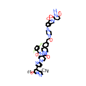 CCOc1cc(-c2ccc(N3CCC(NC(=O)c4cc(F)ccc4F)(C(=O)N4CCC5(CCC(CC(=O)N6CCN(c7ccc8c(c7)CN(C7CCC(=O)NC7=O)C8=O)CC6)CC5)CC4)CC3)nc2)c2c(C#N)cnn2c1